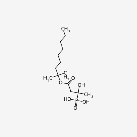 CCCCCCCC(C)(C)OC(=O)CC(C)(O)P(=O)(O)O